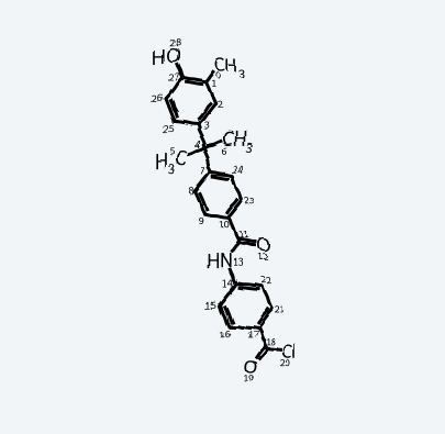 Cc1cc(C(C)(C)c2ccc(C(=O)Nc3ccc(C(=O)Cl)cc3)cc2)ccc1O